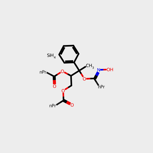 CCCC(=O)OCC(OC(=O)CCC)C(C)(OC(CCC)=NO)c1ccccc1.[SiH4]